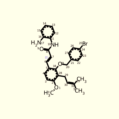 COc1ccc(/C=C/C(=O)Nc2ccccc2N)c(OCc2ccc(Br)cc2)c1CC=C(C)C